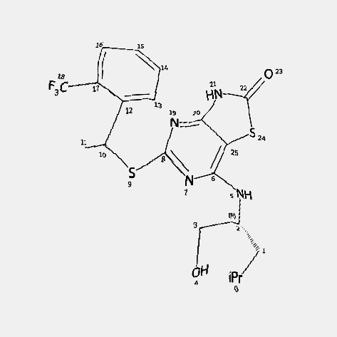 CC(C)C[C@H](CO)Nc1nc(SC(C)c2ccccc2C(F)(F)F)nc2[nH]c(=O)sc12